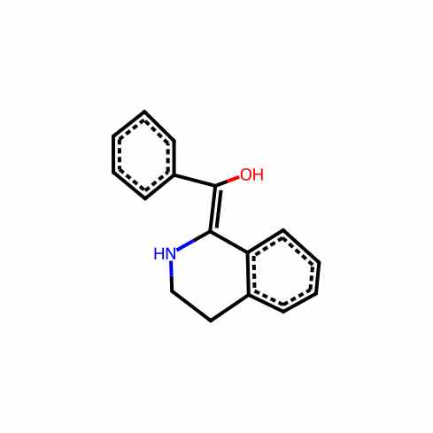 OC(=C1NCCc2ccccc21)c1ccccc1